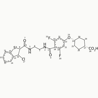 O=C(NCCNC(=O)C1Sc2ccccc2C1Cl)c1c(F)cc(O[C@H]2CC[C@@H](C(=O)O)CC2)cc1F